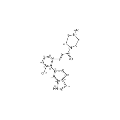 CC(=O)N1CCN(C(=O)/C=C/c2cc[c]c(Cl)c2-c2ccc3cc[nH]c3c2)CC1